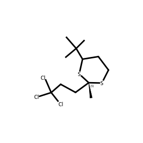 CC(C)(C)C1CCS[C@](C)(CCC(Cl)(Cl)Cl)S1